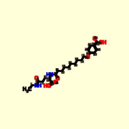 CCNC(=O)CC[C@H](NC(=O)CCCCCCCCCOc1ccc(C(=O)O)cc1)C(=O)O